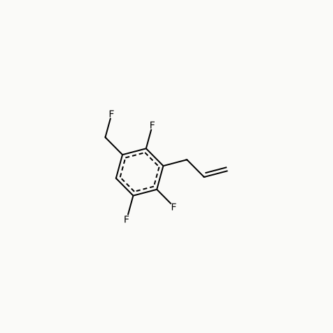 C=CCc1c(F)c(F)cc(CF)c1F